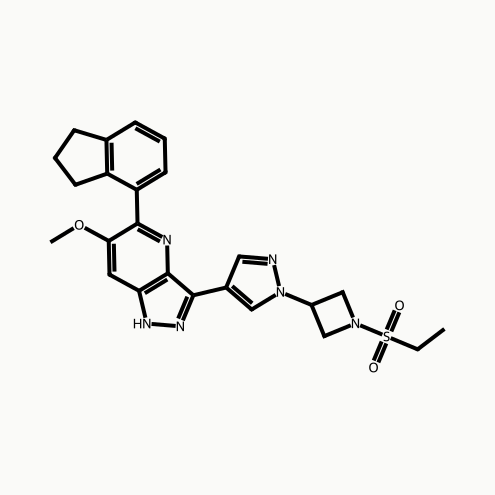 CCS(=O)(=O)N1CC(n2cc(-c3n[nH]c4cc(OC)c(-c5cccc6c5CCC6)nc34)cn2)C1